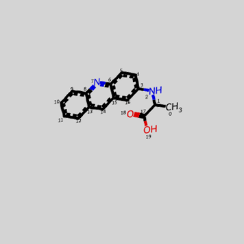 CC(Nc1ccc2nc3ccccc3cc2c1)C(=O)O